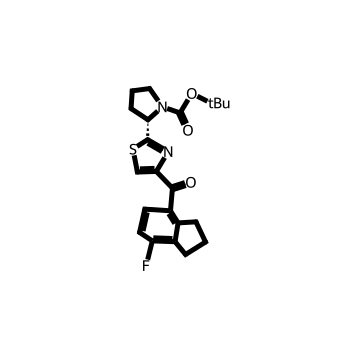 CC(C)(C)OC(=O)N1CCC[C@H]1c1nc(C(=O)c2ccc(F)c3c2CCC3)cs1